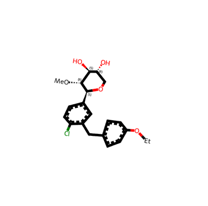 CCOc1ccc(Cc2cc([C@@H]3OC[C@@H](O)[C@H](O)[C@H]3OC)ccc2Cl)cc1